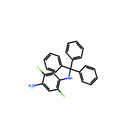 Nc1cc(F)c(NC(c2ccccc2)(c2ccccc2)c2ccccc2)cc1F